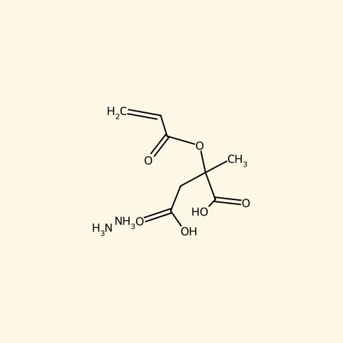 C=CC(=O)OC(C)(CC(=O)O)C(=O)O.N.N